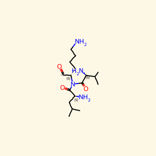 CC(C)C[C@H](N)C(=O)N(C(=O)[C@@H](N)C(C)C)[C@H]([C]=O)CCCCN